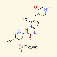 C#Cc1cnc(NC(=O)N(C)c2ccc(CN3CCN(C)CC3=O)c(C=O)n2)cc1O[C@H](C)COC